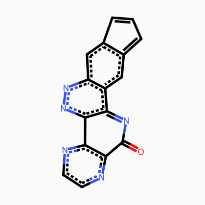 O=C1N=c2c(nnc3cc4c(cc23)=CC=C4)-c2nccnc21